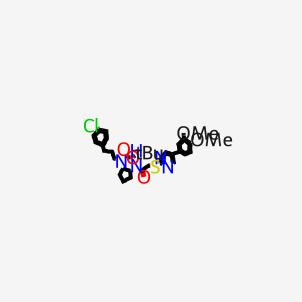 COc1ccc(-c2cnc(SCC(=O)NC3CCCC3N(CCCc3ccc(Cl)cc3)C(=O)OC(C)(C)C)nc2)cc1OC